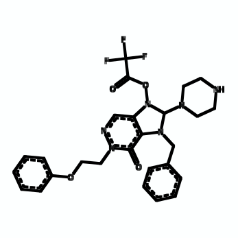 O=C(ON1c2cnn(CCOc3ccccc3)c(=O)c2N(Cc2ccccc2)C1N1CCNCC1)C(F)(F)F